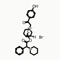 O=C(C[N+]12CCC(CC1)[C@@H](OC(=O)C(c1ccccc1)N1CCCCC1)C2)c1ccc(O)cc1.[Br-]